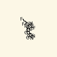 CCN(C(=O)NC(CCCF)C(F)F)C(c1cc(-c2cn3ncnc3c(OC)n2)c(OC)cn1)C(F)(F)F